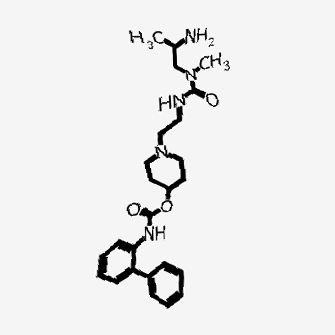 CC(N)CN(C)C(=O)NCCN1CCC(OC(=O)Nc2ccccc2-c2ccccc2)CC1